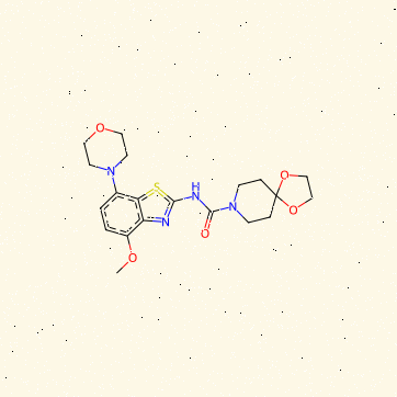 COc1ccc(N2CCOCC2)c2sc(NC(=O)N3CCC4(CC3)OCCO4)nc12